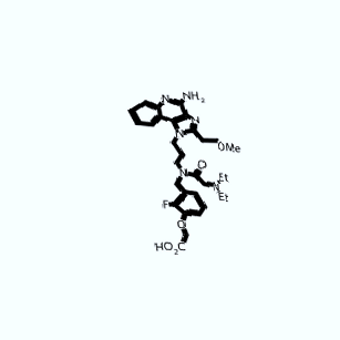 CCN(CC)CC(=O)N(CCCn1c(CCOC)nc2c(N)nc3ccccc3c21)Cc1cccc(OCC(=O)O)c1F